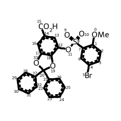 COc1ccc(Br)cc1S(=O)(=O)Oc1cc(C(=O)O)cc2c1OC(c1ccccc1)(c1ccccc1)O2